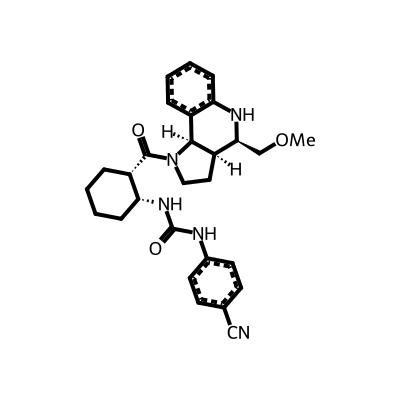 COC[C@@H]1Nc2ccccc2[C@H]2[C@@H]1CCN2C(=O)[C@H]1CCCC[C@H]1NC(=O)Nc1ccc(C#N)cc1